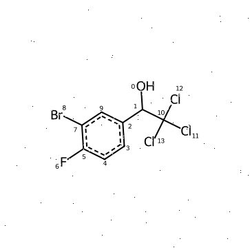 OC(c1ccc(F)c(Br)c1)C(Cl)(Cl)Cl